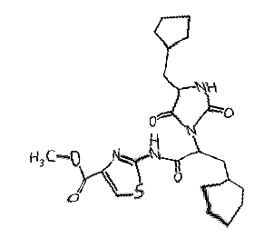 COC(=O)c1csc(NC(=O)C(CC2CCCCC2)N2C(=O)NC(CC3CCCC3)C2=O)n1